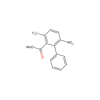 COC(=O)c1c(C(F)(F)F)ccc([N+](=O)[O-])c1-c1ccccc1